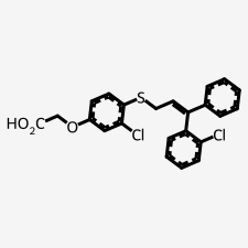 O=C(O)COc1ccc(SC/C=C(/c2ccccc2)c2ccccc2Cl)c(Cl)c1